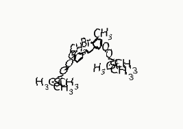 COc1cc(/C=C/c2cc(OCOCC[Si](C)(C)C)cc(C)c2Br)ccc1OCOCC[Si](C)(C)C